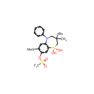 CCCCC1(C)CN(c2ccccc2)c2cc(SC)c(OS(=O)(=O)C(F)(F)F)cc2S(O)(O)C1